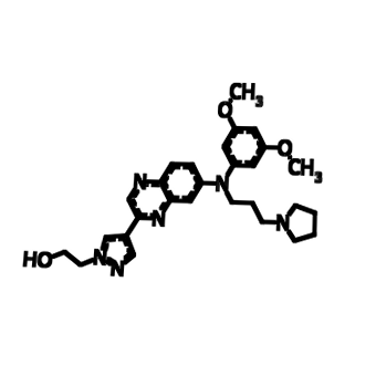 COc1cc(OC)cc(N(CCCN2CCCC2)c2ccc3ncc(-c4cnn(CCO)c4)nc3c2)c1